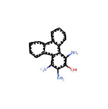 Nc1c(O)c(N)c2c3ccccc3c3ccccc3c2c1N